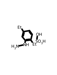 CCc1ccc(CC)c(NN)c1.O=S(=O)(O)O